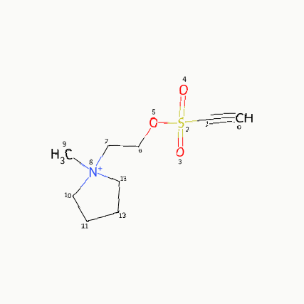 C#CS(=O)(=O)OCC[N+]1(C)CCCC1